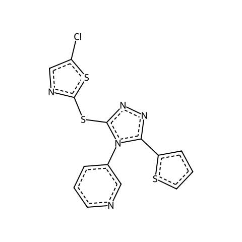 Clc1cnc(Sc2nnc(-c3cccs3)n2-c2cccnc2)s1